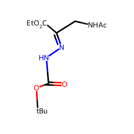 CCOC(=O)/C(CNC(C)=O)=N\NC(=O)OC(C)(C)C